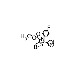 CCOC(=O)C1=C(CBr)SC(c2cnoc2)N1c1ccc(F)cc1